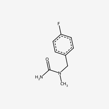 CN(Cc1ccc(F)cc1)C(N)=O